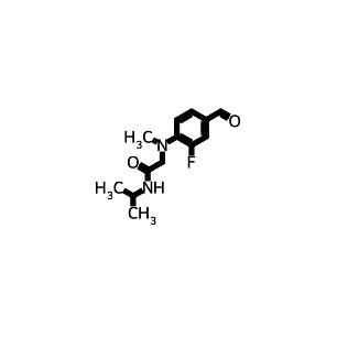 CC(C)NC(=O)CN(C)c1ccc(C=O)cc1F